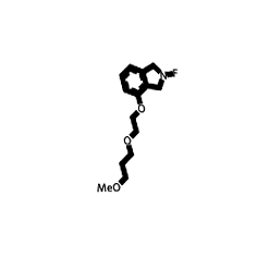 COCCCOCCOc1cccc2c1CN(F)C2